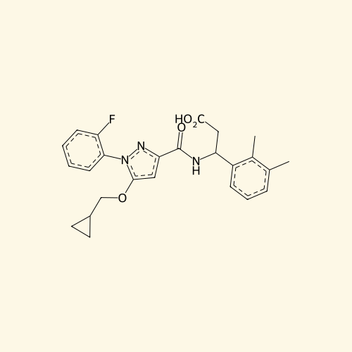 Cc1cccc(C(CC(=O)O)NC(=O)c2cc(OCC3CC3)n(-c3ccccc3F)n2)c1C